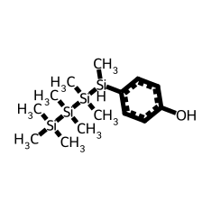 C[SiH](c1ccc(O)cc1)[Si](C)(C)[Si](C)(C)[Si](C)(C)C